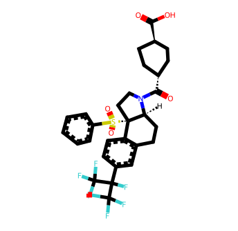 O=C(O)[C@H]1CC[C@H](C(=O)N2CC[C@]3(S(=O)(=O)c4ccccc4)c4ccc(C(F)(C(F)(F)F)C(F)(F)F)cc4CC[C@H]23)CC1